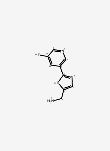 NCc1cnc(-c2cncc(F)c2)s1